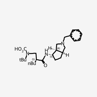 CCCC[C@@H](CN(C(=O)O)C(C)(C)C)C(=O)N[C@H]1CC[C@@H]2CN(Cc3ccccc3)C[C@@H]21